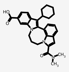 CN(C)C(=O)c1cc2cccc3c2n1CCCn1c-3c(C2CCCCC2)c2ccc(C(=O)O)cc21